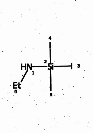 CCN[Si](I)(I)I